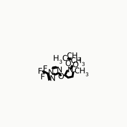 C[C@@H]1CC[C@@H](Oc2nccn3c(C(F)(F)F)cnc23)CN1C(=O)OC(C)(C)C